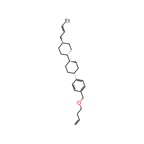 C=CCCOCc1ccc([C@H]2CC[C@H]([C@H]3CC[C@H](CC=CCC)CC3)CC2)cc1